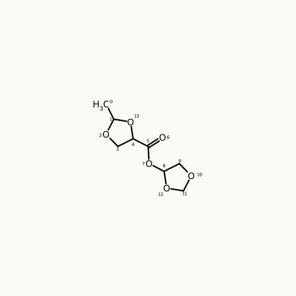 CC1OCC(C(=O)OC2COCO2)O1